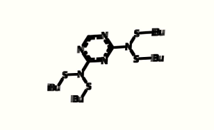 CCC(C)SN(SC(C)CC)c1ncnc(N(SC(C)CC)SC(C)CC)n1